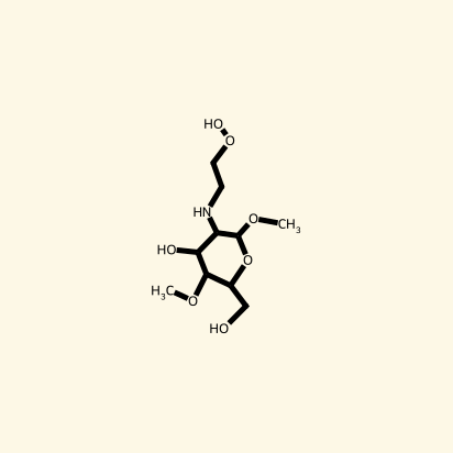 COC1OC(CO)C(OC)C(O)C1NCCOO